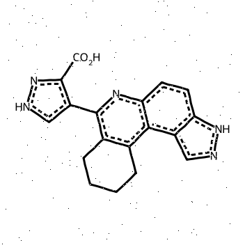 O=C(O)c1n[nH]cc1-c1nc2ccc3[nH]ncc3c2c2c1CCCC2